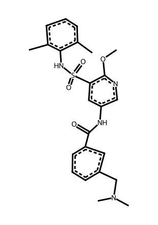 COc1ncc(NC(=O)c2cccc(CN(C)C)c2)cc1S(=O)(=O)Nc1c(C)cccc1C